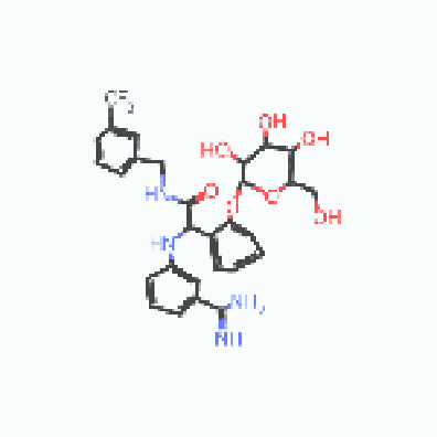 N=C(N)c1cccc(NC(C(=O)NCc2cccc(C(F)(F)F)c2)c2ccccc2OC2OC(CO)C(O)C(O)C2O)c1